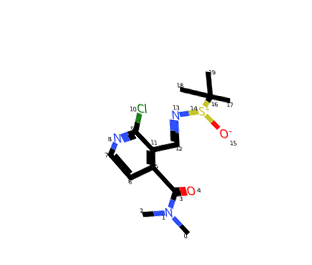 CN(C)C(=O)c1ccnc(Cl)c1C=N[S+]([O-])C(C)(C)C